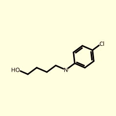 OCCCC[N]c1ccc(Cl)cc1